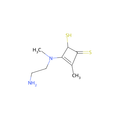 CC1=C(N(C)CCN)C(S)C1=S